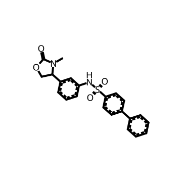 CN1C(=O)OCC1c1cccc(NS(=O)(=O)c2ccc(-c3ccccc3)cc2)c1